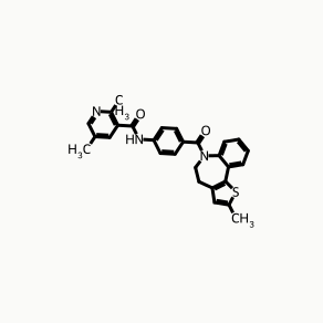 Cc1cnc(C)c(C(=O)Nc2ccc(C(=O)N3CCc4cc(C)sc4-c4ccccc43)cc2)c1